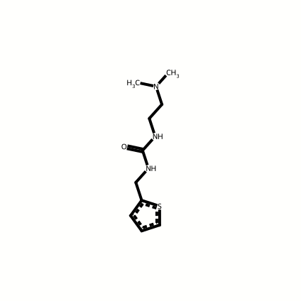 CN(C)CCNC(=O)NCc1cccs1